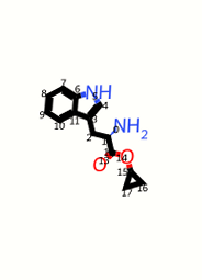 N[C@@H](Cc1c[nH]c2ccccc12)C(=O)OC1CC1